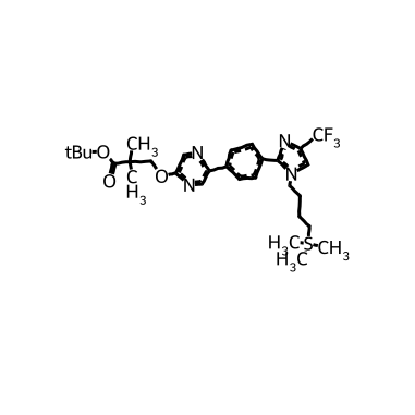 CC(C)(C)OC(=O)C(C)(C)COc1cnc(-c2ccc(-c3nc(C(F)(F)F)cn3CCCCS(C)(C)C)cc2)cn1